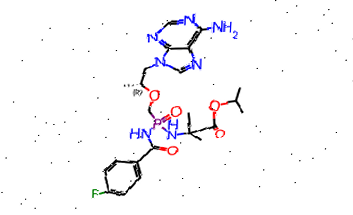 CC(C)OC(=O)C(C)(C)NP(=O)(CO[C@H](C)Cn1cnc2c(N)ncnc21)NC(=O)c1ccc(F)cc1